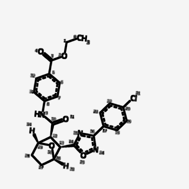 CCOC(=O)c1ccc(NC(=O)[C@H]2[C@@H](c3nc(-c4ccc(Cl)cc4)no3)[C@@H]3CC[C@H]2O3)cc1